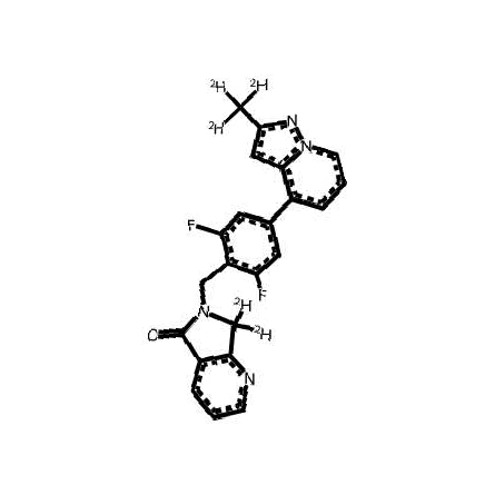 [2H]C([2H])([2H])c1cc2c(-c3cc(F)c(CN4C(=O)c5cccnc5C4([2H])[2H])c(F)c3)cccn2n1